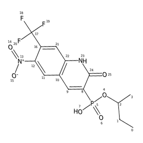 CCC(C)OP(=O)(O)c1cc2cc([N+](=O)[O-])c(C(F)(F)F)cc2[nH]c1=O